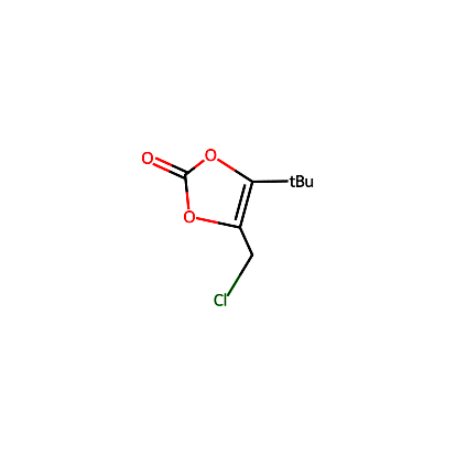 CC(C)(C)c1oc(=O)oc1CCl